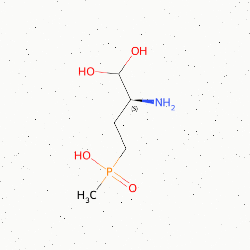 CP(=O)(O)CC[C@H](N)C(O)O